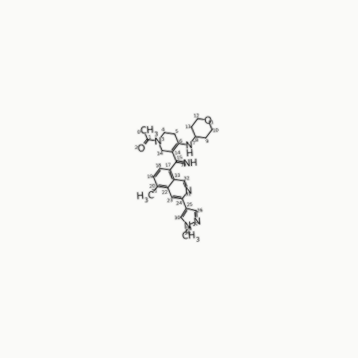 CC(=O)N1CCC(NC2CCOCC2)=C(C(=N)c2ccc(C)c3cc(-c4cnn(C)c4)ncc23)C1